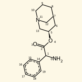 NC(C(=O)O[C@@H]1CC2CCCN(C2)C1)c1ccccc1